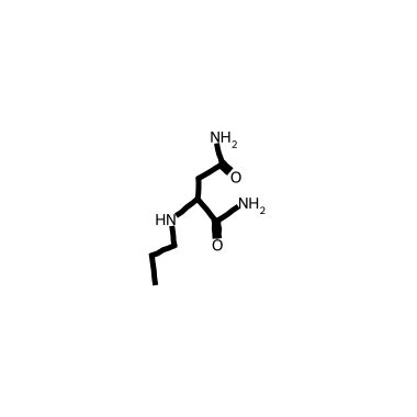 CCCNC(CC(N)=O)C(N)=O